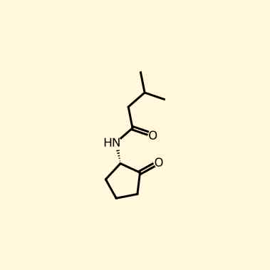 CC(C)CC(=O)N[C@H]1CCCC1=O